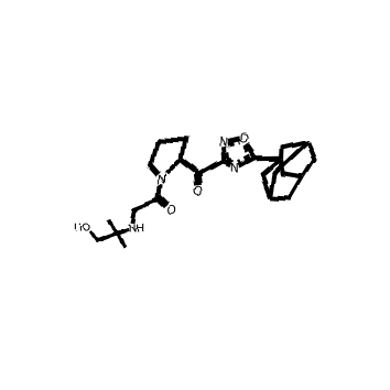 CC(C)(CO)NCC(=O)N1CCCC1C(=O)c1noc(C23CC4CC(CC(C4)C2)C3)n1